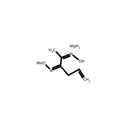 C=CCC(=N/OC)/C(C)=N\O.[MgH2]